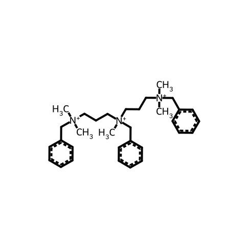 C[N+](C)(CCC[N+](C)(CCC[N+](C)(C)Cc1ccccc1)Cc1ccccc1)Cc1ccccc1